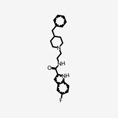 O=C(NCCN1CCC(Cc2ccccc2)CC1)c1cc2cc(F)ccc2[nH]1